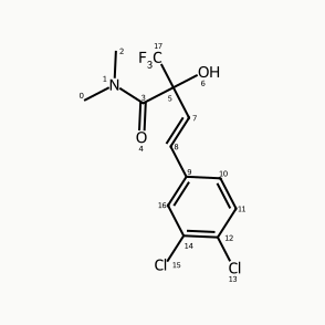 CN(C)C(=O)C(O)(/C=C/c1ccc(Cl)c(Cl)c1)C(F)(F)F